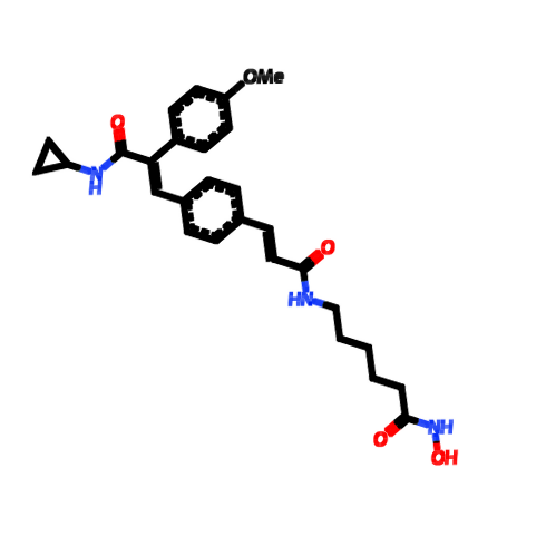 COc1ccc(/C(=C\c2ccc(/C=C/C(=O)NCCCCCC(=O)NO)cc2)C(=O)NC2CC2)cc1